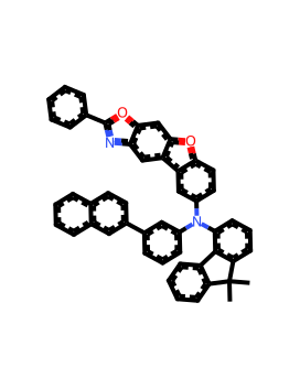 CC1(C)c2ccccc2-c2c(N(c3cccc(-c4ccc5ccccc5c4)c3)c3ccc4oc5cc6oc(-c7ccccc7)nc6cc5c4c3)cccc21